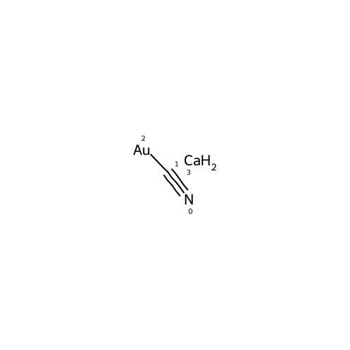 N#[C][Au].[CaH2]